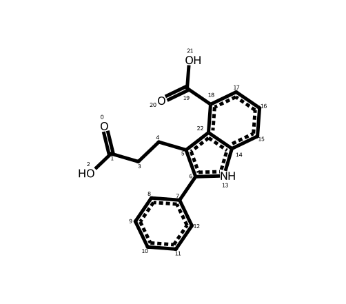 O=C(O)CCc1c(-c2ccccc2)[nH]c2cccc(C(=O)O)c12